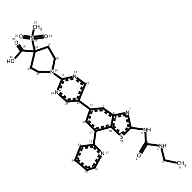 CCNC(=O)Nc1nc2cc(-c3cnc(N4CCC(C(=O)O)(S(C)(=O)=O)CC4)nc3)cc(-c3ccccn3)c2s1